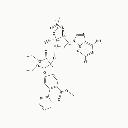 C#C[C@@]1(OC(C)=O)[C@@H](COC(Cc2ccc(-c3ccccc3)c(C(=O)OC)c2)(C(=O)OCC)C(=O)OCC)O[C@@H](n2cnc3c(N)nc(Cl)nc32)[C@@H]1OC(C)=O